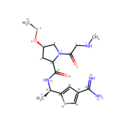 CNCC(=O)N1C[C@H](OSC)CC1C(=O)N[C@H](C)c1cc(C(=N)N)cs1